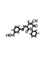 CC1=C(C#N)C(=O)N(c2ccccc2)C(=O)C1/N=N/c1cccc(CO)c1